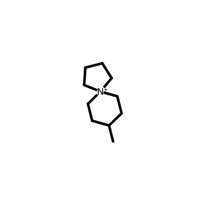 CC1CC[N+]2(CCCC2)CC1